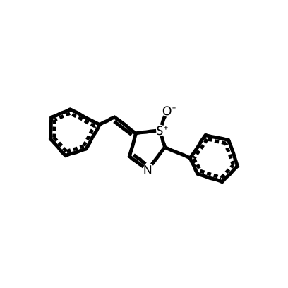 [O-][S+]1C(=Cc2ccccc2)C=NC1c1ccccc1